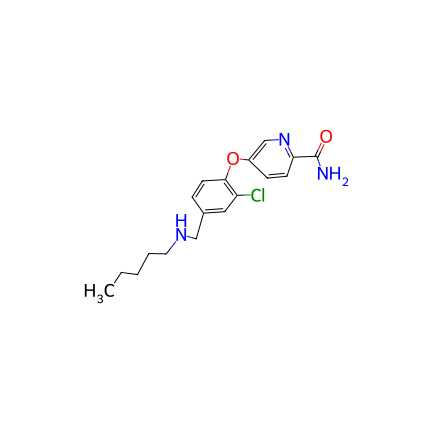 CCCCCNCc1ccc(Oc2ccc(C(N)=O)nc2)c(Cl)c1